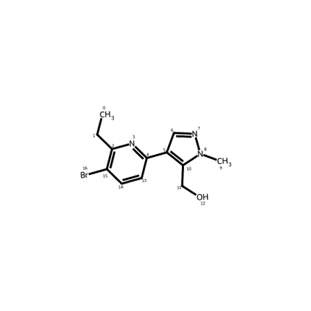 CCc1nc(-c2cnn(C)c2CO)ccc1Br